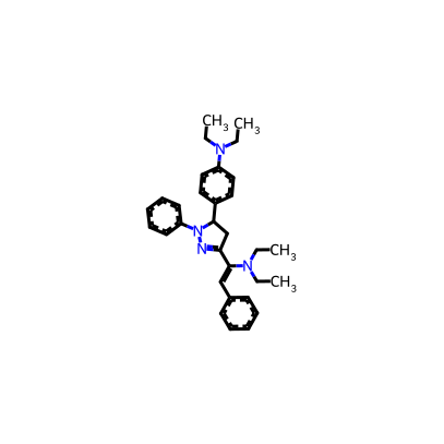 CCN(CC)C(=Cc1ccccc1)C1=NN(c2ccccc2)C(c2ccc(N(CC)CC)cc2)C1